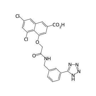 O=C(COc1cc(C(=O)O)cc2cc(Cl)cc(Cl)c12)NCc1cccc(-c2nnn[nH]2)c1